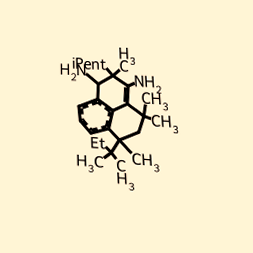 CCCC(C)C1(C)C(N)=C2c3c(cccc3C(C)(C(C)(C)CC)CC2(C)C)C1N